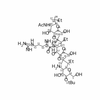 CCC(C1OC(CO)C(OC(C)(C)C)C(O)C1N)C(C)(C)OC1C(CO)OC(C(CC)C(C)(C)OC2C(CO)OC(C(C)(C)CC)C(NC(C)=O)C2O)C(NC(=O)[C@@H](N)CCCNC(=N)N)C1O